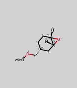 COOC[C@@H]1CC[C@@H]2O[C@@H]2C1